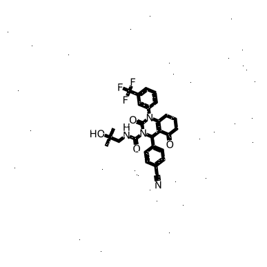 CC(C)(O)CNC(=O)N1C(=O)N(c2cccc(C(F)(F)F)c2)C2=C(C(=O)CCC2)C1c1ccc(C#N)cc1